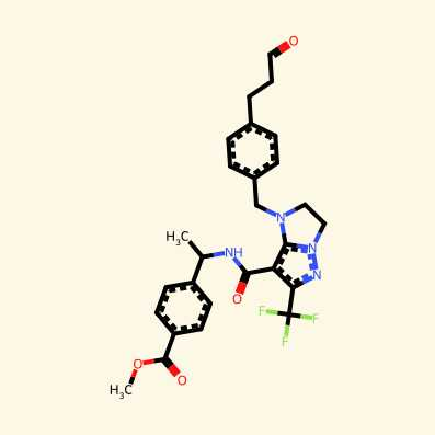 COC(=O)c1ccc(C(C)NC(=O)c2c(C(F)(F)F)nn3c2N(Cc2ccc(CCC=O)cc2)CC3)cc1